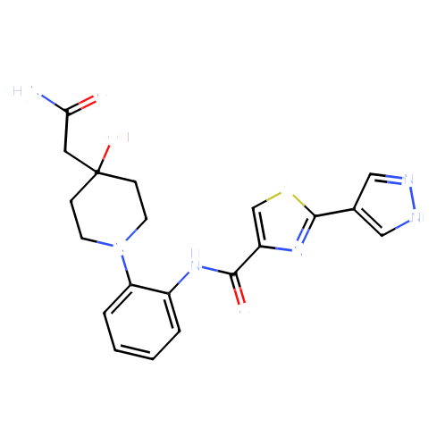 NC(=O)CC1(O)CCN(c2ccccc2NC(=O)c2csc(-c3cn[nH]c3)n2)CC1